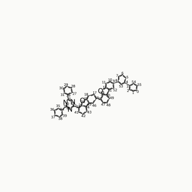 c1ccc(-c2cccc(-c3ccc4oc5c(-c6ccc7oc8c(-c9nc(-c%10ccccc%10)nc(-c%10ccccc%10)n9)cccc8c7c6)cccc5c4c3)c2)cc1